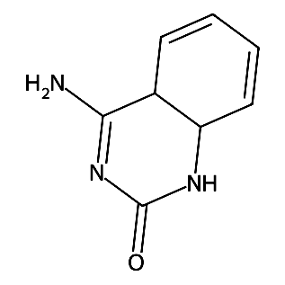 NC1=NC(=O)NC2C=CC=CC12